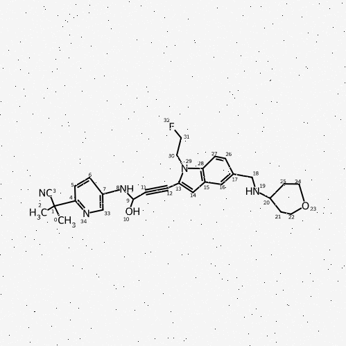 CC(C)(C#N)c1ccc(NC(O)C#Cc2cc3cc(CNC4CCOCC4)ccc3n2CCF)cn1